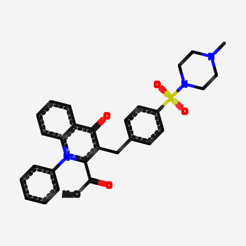 COC(=O)c1c(Cc2ccc(S(=O)(=O)N3CCN(C)CC3)cc2)c(=O)c2ccccc2n1-c1ccccc1